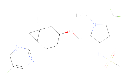 CS(=O)(=O)N[C@H]1C[C@@H](C(F)F)N(C(=O)O)[C@H]1CO[C@H]1CC[C@@]2(c3ncc(F)cn3)C[C@H]2C1